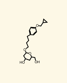 OCC1CC(O)CC(OCCCCc2ccc(OCC3CC3)cc2)O1